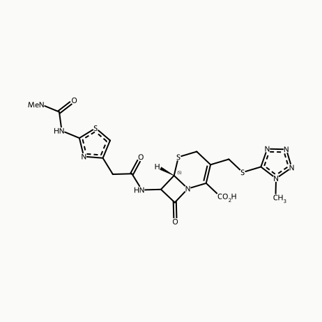 CNC(=O)Nc1nc(CC(=O)NC2C(=O)N3C(C(=O)O)=C(CSc4nnnn4C)CS[C@@H]23)cs1